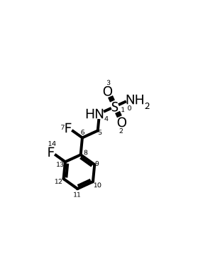 NS(=O)(=O)NCC(F)c1ccccc1F